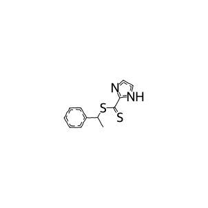 CC(SC(=S)c1ncc[nH]1)c1ccccc1